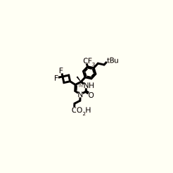 CC(C)(C)CCc1ccc([C@]2(C)NC(=O)N(CCC(=O)O)C=C2C2CC(F)(F)C2)cc1C(F)(F)F